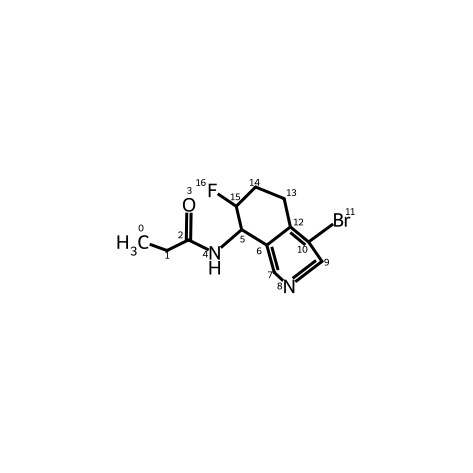 CCC(=O)NC1c2cncc(Br)c2CCC1F